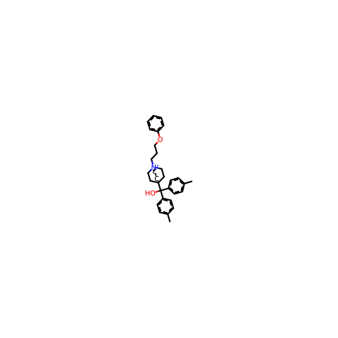 Cc1ccc(C(O)(c2ccc(C)cc2)C23CC[N+](CCCOc4ccccc4)(CC2)CC3)cc1